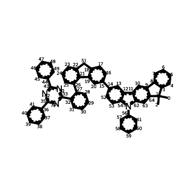 CC1(C)c2ccccc2-c2cc3c4cc(-c5ccc6c(c5)-c5c(cccc5-c5ccccc5-c5nc(-c7ccccc7)nc(-c7ccccc7)n5)C6)ccc4n(-c4ccccc4)c3cc21